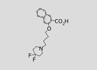 O=C(O)c1cc2ccccc2cc1OCCCCN1CCC(F)(F)CC1